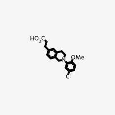 COc1ccc(Cl)cc1N1CCc2cc(CCC(=O)O)ccc2C1